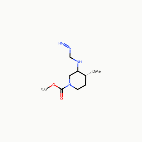 CO[C@@H]1CCN(C(=O)OC(C)(C)C)CC1NCN=N